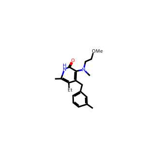 CCc1c(C)[nH]c(=O)c(N(C)CCOC)c1Cc1cccc(C)c1